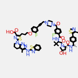 Cc1ncsc1-c1ccc([C@H](C)NC(=O)[C@@H]2C[C@@H](O)CN2C(=O)C(NC(=O)c2ccc(C(=O)N3CCN(CC#Cc4ccc(OCCCc5sc(N6CCCc7c6nnc(Nc6nc8ccccc8s6)c7C)nc5C(=O)O)c(F)c4)CC3)cc2F)C(C)(C)C)cc1